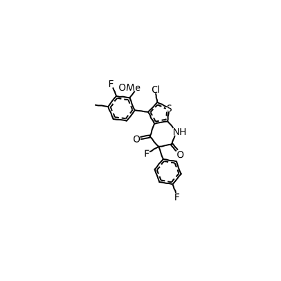 COc1c(-c2c(Cl)sc3c2C(=O)C(F)(c2ccc(F)cc2)C(=O)N3)ccc(C)c1F